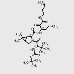 C=CCCNC(=O)C(=O)[C@@H](CCC)NC(=O)[C@@H]1C2C(CN1C(=O)[C@@H](NC(=O)OC(C)(C)C)C(C)(C)C)C2(C)C